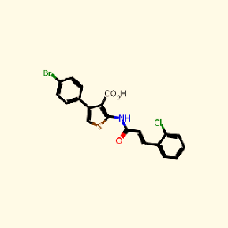 O=C(/C=C/c1ccccc1Cl)Nc1scc(-c2ccc(Br)cc2)c1C(=O)O